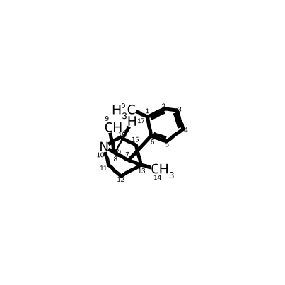 Cc1ccccc1C1[C@@H](C)N2CCC1(C)CC2